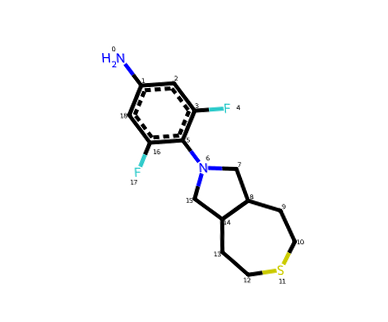 Nc1cc(F)c(N2CC3CCSCCC3C2)c(F)c1